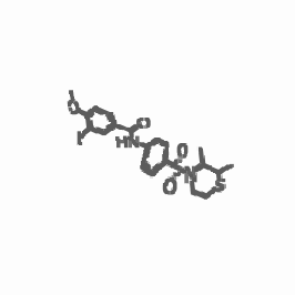 COc1ccc(C(=O)Nc2ccc(S(=O)(=O)N3CCSC(C)C3C)cc2)cc1I